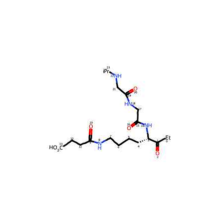 CCC(=O)[C@H](CCCCNC(=O)CCC(=O)O)NC(=O)CNC(=O)CNC(C)C